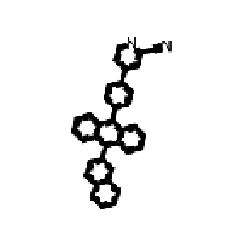 N#Cc1cc(-c2ccc(-c3c4ccccc4c(-c4ccc5ccccc5c4)c4ccccc34)cc2)ccn1